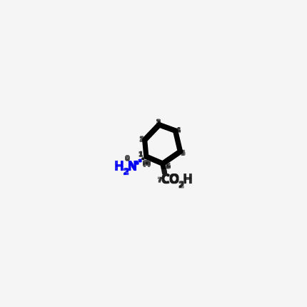 N[C@@H]1CCCCC1C(=O)O